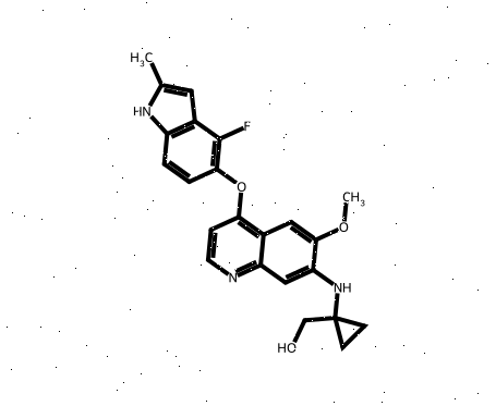 COc1cc2c(Oc3ccc4[nH]c(C)cc4c3F)ccnc2cc1NC1(CO)CC1